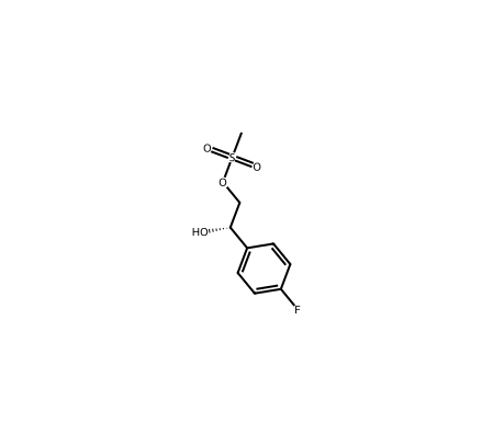 CS(=O)(=O)OC[C@@H](O)c1ccc(F)cc1